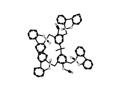 CC(C)(c1cc(CP2(=O)Oc3ccccc3-c3ccccc32)c(C#N)c(CP2(=O)Oc3ccccc3-c3ccccc32)c1)c1cc(CP2(=O)Oc3ccccc3-c3ccccc32)c(OC#N)c(CP2(=O)Oc3ccccc3-c3ccccc32)c1